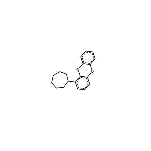 c1ccc2c(c1)[N]c1c(cccc1C1CCCCCC1)O2